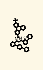 CC(C)(C)c1ccc2c3ccc(-c4nc(-c5ccccc5-c5ccc(-c6ccccc6)cc5)cc(-c5cccc6c5oc5ccccc56)n4)cc3c3ccccc3c2c1